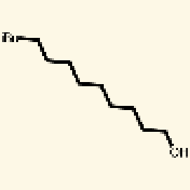 CCC(C)CCCCCCCCCO